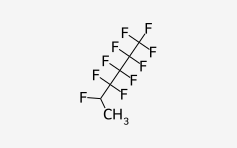 CC(F)C(F)(F)C(F)(F)C(F)(F)C(F)(F)F